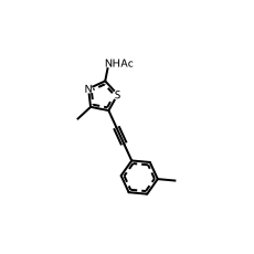 CC(=O)Nc1nc(C)c(C#Cc2cccc(C)c2)s1